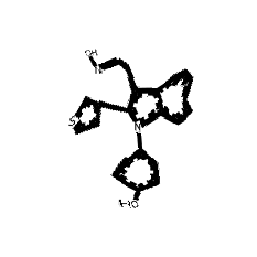 ON=Cc1c(-c2ccsc2)n(-c2ccc(O)cc2)c2ccccc12